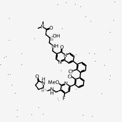 COc1nc(-c2cccc(-c3cccc(-c4ccn5c(=O)c(CNC[C@@H](O)CC(=O)N(C)C)cnc5c4)c3Cl)c2Cl)cc(F)c1CNC[C@@H]1CCC(=O)N1